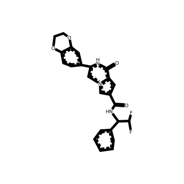 O=C(NC(c1ccccc1)C(F)F)c1cc2c(=O)[nH]c(-c3ccc4c(c3)OCCO4)cn2c1